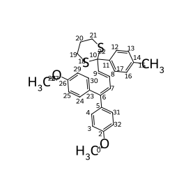 COc1ccc(C(=C/C=C/C2(c3ccc(C)cc3)SCCCS2)c2ccc(OC)cc2)cc1